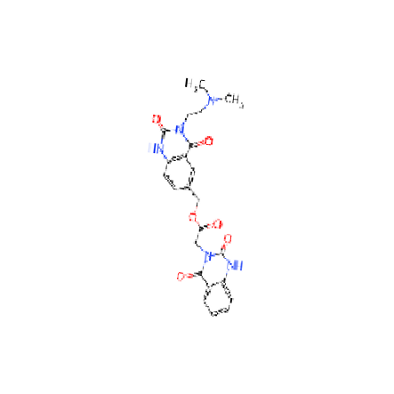 CN(C)CCn1c(=O)[nH]c2ccc(COC(=O)Cn3c(=O)[nH]c4ccccc4c3=O)cc2c1=O